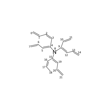 C=C/C=C\C(=C/C=C)N(/C(C=C)=C/C=C)C(/C=C\C)=C/C=C